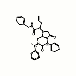 C=CCN(C(=O)NCC1=CC=CCC1)N1CC(=O)N2C1CN([C@@H](C)c1ccccc1)C(=O)[C@@H]2C1=CCCC=C1